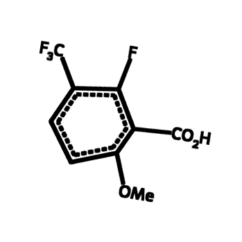 COc1ccc(C(F)(F)F)c(F)c1C(=O)O